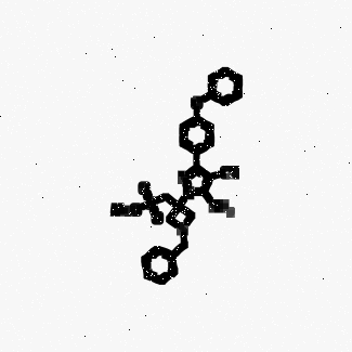 COS(=O)(=O)CC1(n2nc(-c3ccc(Oc4ccccc4)cc3)c(C#N)c2N)CN(Cc2ccccc2)C1